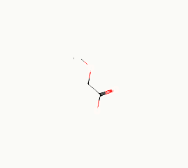 CCCOCC([O])=O